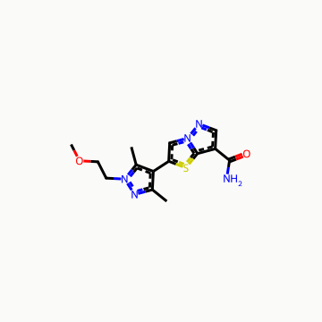 COCCn1nc(C)c(-c2cn3ncc(C(N)=O)c3s2)c1C